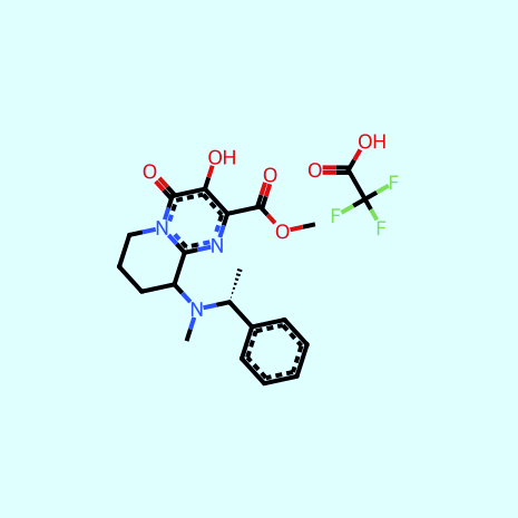 COC(=O)c1nc2n(c(=O)c1O)CCCC2N(C)[C@H](C)c1ccccc1.O=C(O)C(F)(F)F